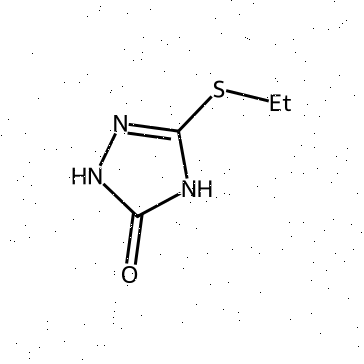 CCSc1n[nH]c(=O)[nH]1